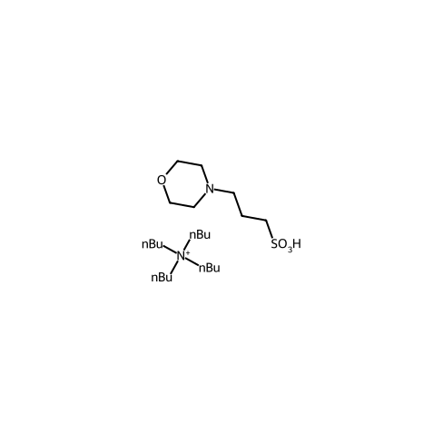 CCCC[N+](CCCC)(CCCC)CCCC.O=S(=O)(O)CCCN1CCOCC1